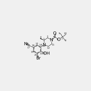 C[C@H]1CN(C(=O)OC(C)(C)C)CCN1c1cc(C#N)cc(Br)c1O